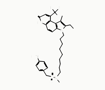 CCc1c(C)c2c3c(C(F)(F)F)cc(=O)[nH]c3ccc2n1CCCCCCCCCN(C)S(=O)(=O)Cc1ccc(N)cc1